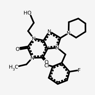 CCn1c(=O)c2c(nc(N3CCCCC3)n2Cc2c(F)cccc2Cl)n(CCO)c1=O